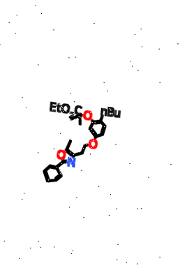 CCCCc1ccc(OCCc2nc(-c3ccccc3)oc2C)cc1OC(C)(C)C(=O)OCC